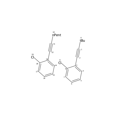 CC(C)(C)C#Cc1ccccc1Cl.CCCCCC#Cc1ccccc1Cl